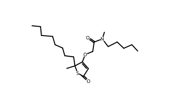 CCCCCCCCC1(C)SC(=O)C=C1OCC(=O)N(C)CCCCC